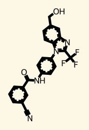 N#Cc1cccc(C(=O)Nc2ccc(-n3c(C(F)(F)F)nc4cc(CO)ccc43)cc2)c1